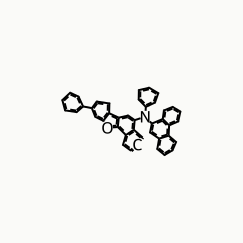 c1ccc(-c2ccc3c(c2)oc2c4ccccc4c(N(c4ccccc4)c4cc5ccccc5c5ccccc45)cc32)cc1